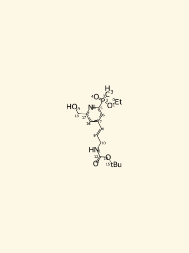 CCOP(C)(=O)c1cc(C=CCNC(=O)OC(C)(C)C)cc(CO)n1